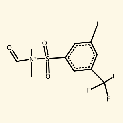 C[N+](C)(C=O)S(=O)(=O)c1cc(I)cc(C(F)(F)F)c1